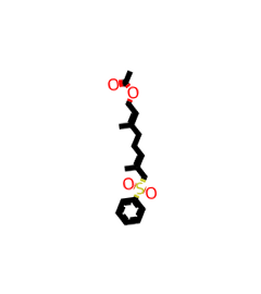 CC(=O)OC/C=C(\C)CC/C=C(\C)CS(=O)(=O)c1ccccc1